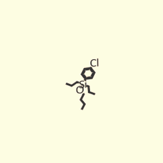 CCCCO[Si](CCC)(CCC)c1ccc(Cl)cc1